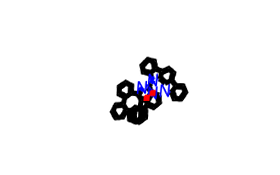 c1ccc(-c2ccc(-n3c4ccccc4c4ccc5c6ccccc6n(-c6ncc7c(n6)-c6ccccc6-c6ccccc6-c6ccccc6-7)c5c43)cc2)cc1